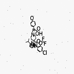 COc1ccc([C@H](CN2CCC(C(=O)Nc3ccc(Cl)cc3OC(F)F)(n3nccc3C(C)C)CC2)C(=O)O)cc1